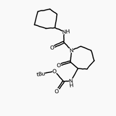 CC(C)(C)OC(=O)NC1CCCCN(C(=O)NC2CCCCC2)C1=O